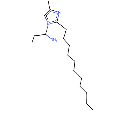 CCCCCCCCCCCc1nc(C)cn1C(N)CC